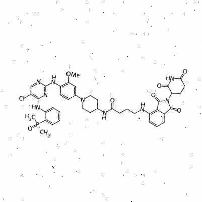 COc1cc(N2CCC(NC(=O)CCCNc3cccc4c3C(=O)N(C3CCC(=O)NC3=O)C4=O)CC2)ccc1Nc1ncc(Cl)c(Nc2ccccc2P(C)(C)=O)n1